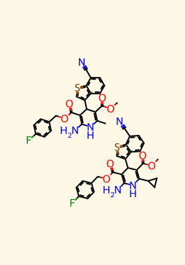 COC(=O)C1=C(C)NC(N)=C(C(=O)OCc2ccc(F)cc2)C1c1csc2c(C#N)cccc12.COC(=O)C1=C(C2CC2)NC(N)=C(C(=O)OCc2ccc(F)cc2)C1c1csc2c(C#N)cccc12